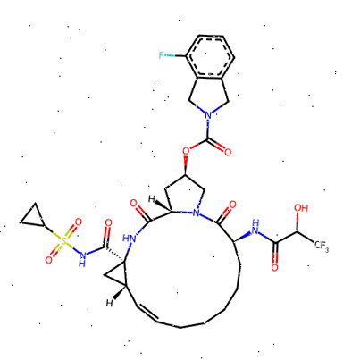 O=C(N[C@H]1CCCCC/C=C\[C@@H]2C[C@@]2(C(=O)NS(=O)(=O)C2CC2)NC(=O)[C@@H]2C[C@@H](OC(=O)N3Cc4cccc(F)c4C3)CN2C1=O)C(O)C(F)(F)F